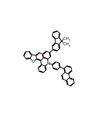 CC1(C)c2ccccc2-c2cc(-c3cccc(N(c4ccc(-c5cccc6c5ccc5ccccc56)cc4)c4ccccc4-c4cccc5c4oc4ccccc45)c3)ccc21